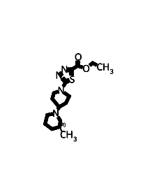 CCOC(=O)c1nnc(N2CCC(N3CCC[C@@H](C)C3)CC2)s1